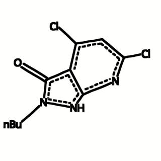 CCCCn1[nH]c2nc(Cl)cc(Cl)c2c1=O